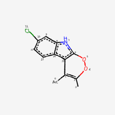 CC(=O)C1=C(C)OOc2[nH]c3cc(Cl)ccc3c21